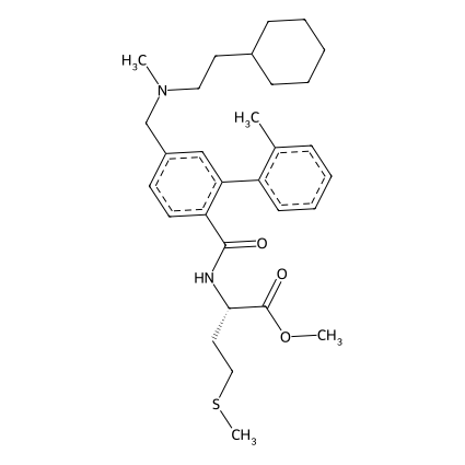 COC(=O)[C@H](CCSC)NC(=O)c1ccc(CN(C)CCC2CCCCC2)cc1-c1ccccc1C